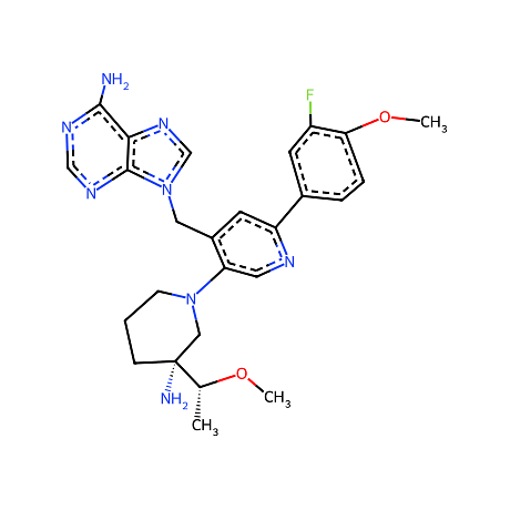 COc1ccc(-c2cc(Cn3cnc4c(N)ncnc43)c(N3CCC[C@](N)([C@@H](C)OC)C3)cn2)cc1F